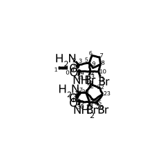 C=C.NC(=O)C12CCC(C1)C(Br)C2(Br)C(N)=O.NC(=O)C12CCC(C1)C(Br)C2(Br)C(N)=O